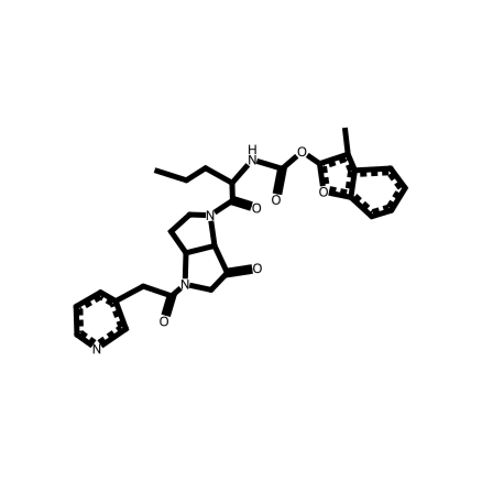 CCCC(NC(=O)Oc1oc2ccccc2c1C)C(=O)N1CCC2C1C(=O)CN2C(=O)Cc1cccnc1